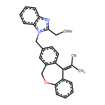 COCc1nc2ccccc2n1Cc1ccc2c(c1)COc1ccccc1/C2=C(\C)C#N